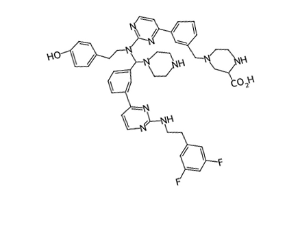 O=C(O)C1CN(Cc2cccc(-c3ccnc(N(CCc4ccc(O)cc4)C(c4cccc(-c5ccnc(NCCc6cc(F)cc(F)c6)n5)c4)N4CCNCC4)n3)c2)CCN1